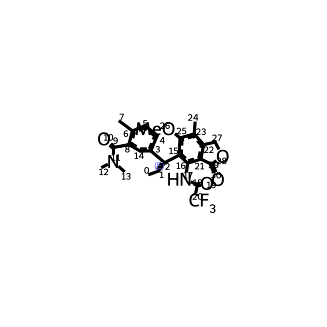 C/C=C(\c1ccc(C)c(C(=O)N(C)C)c1)c1c(NC(=O)C(F)(F)F)c2c(c(C)c1OC)COC2=O